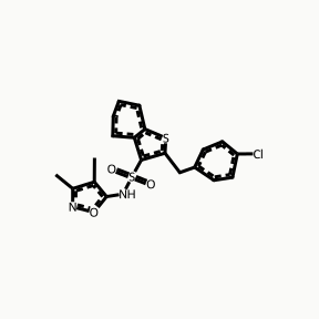 Cc1noc(NS(=O)(=O)c2c(Cc3ccc(Cl)cc3)sc3ccccc23)c1C